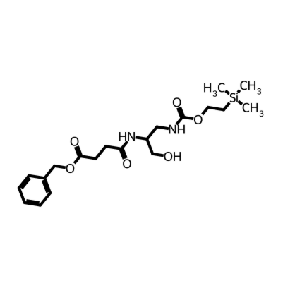 C[Si](C)(C)CCOC(=O)NCC(CO)NC(=O)CCC(=O)OCc1ccccc1